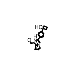 O=CC1NC(c2ccc(C3(O)CCC3)cc2)=Cn2cccc21